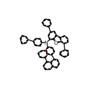 c1ccc(-c2ccc(N(c3ccc(-c4cccc5cccc(-c6ccccc6)c45)cc3)c3cc(-c4ccccc4)cc4c3oc3c(-c5ccccc5)cccc34)cc2)cc1